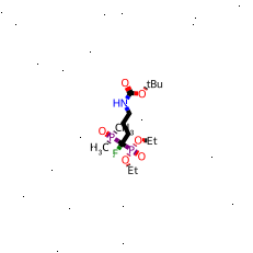 CCOP(=O)(OCC)C(F)(CCCNC(=O)OC(C)(C)C)P(C)(C)=O